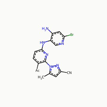 CC(=O)c1ccc(Nc2cnc(Br)cc2N)nc1-n1nc(C#N)cc1C